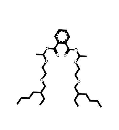 CCCCC(CC)COCCOC(C)OC(=O)c1ccccc1C(=O)OC(C)OCCOCC(CC)CCCC